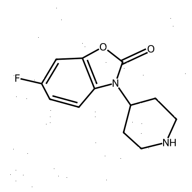 O=c1oc2cc(F)ccc2n1C1CCNCC1